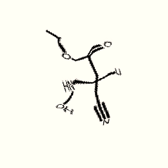 CCOC(=O)[C]([U])(C#N)NO